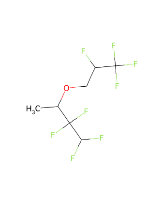 CC(OCC(F)C(F)(F)F)C(F)(F)C(F)F